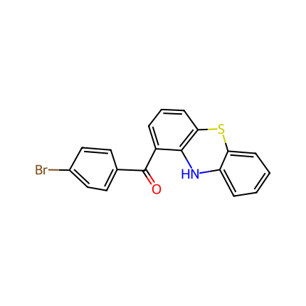 O=C(c1ccc(Br)cc1)c1cccc2c1Nc1ccccc1S2